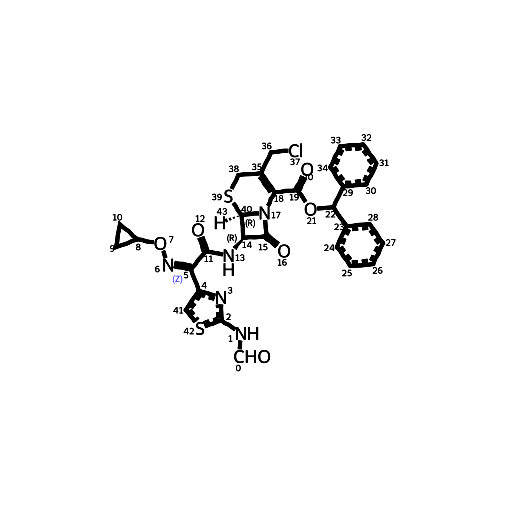 O=CNc1nc(/C(=N/OC2CC2)C(=O)N[C@@H]2C(=O)N3C(C(=O)OC(c4ccccc4)c4ccccc4)=C(CCl)CS[C@H]23)cs1